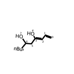 C=CC=C(O)CC(O)CCCC